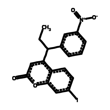 CCC(c1cccc([N+](=O)[O-])c1)c1cc(=O)oc2cc(I)ccc12